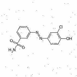 NS(=O)(=O)c1cccc(N=Nc2ccc(O)c(Cl)c2)c1